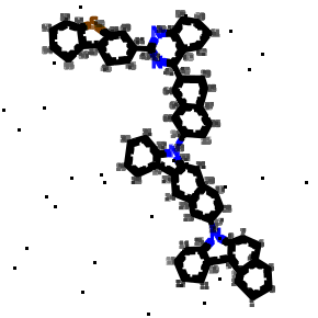 c1ccc2c(c1)ccc1c2c2ccccc2n1-c1ccc2cc3c(cc2c1)c1ccccc1n3-c1ccc2ccc(-c3nc(-c4ccc5c(c4)sc4ccccc45)nc4ccccc34)cc2c1